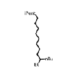 [CH2]CCC(C)CCCCCCCCC(CC)CCCC